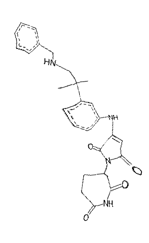 CC(C)(CNCc1ccccc1)c1cccc(NC2=CC(=O)N(C3CCC(=O)NC3=O)C2=O)c1